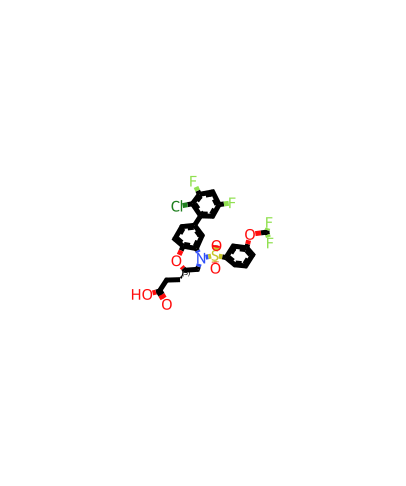 O=C(O)CC[C@H]1CN(S(=O)(=O)c2cccc(OC(F)F)c2)c2cc(-c3cc(F)cc(F)c3Cl)ccc2O1